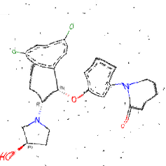 O=C1CCCN1c1cccc(O[C@H]2c3cc(Cl)cc(Cl)c3C[C@H]2N2CC[C@@H](O)C2)c1